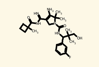 CC1(C(=O)NC(=N)C2=C(N)C(C)(C)N(C(=O)NC(c3cccc(F)c3)C(C)(C)CO)C2)CCC1